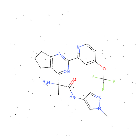 Cn1cc(NC(=O)C(C)(N)c2nc(-c3cc(OC(F)(F)F)ccn3)nc3c2CCC3)cn1